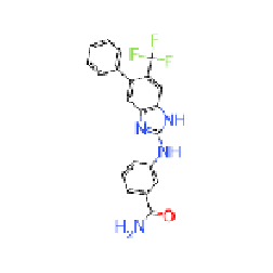 NC(=O)c1cccc(Nc2nc3cc(-c4ccccc4)c(C(F)(F)F)cc3[nH]2)c1